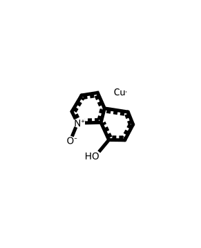 [Cu].[O-][n+]1cccc2cccc(O)c21